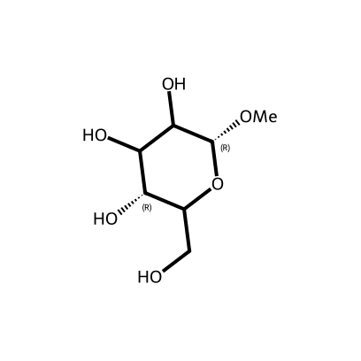 CO[C@@H]1OC(CO)[C@H](O)C(O)C1O